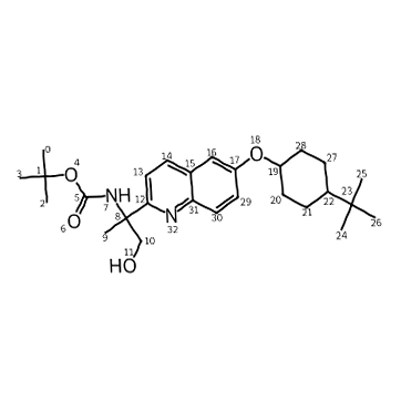 CC(C)(C)OC(=O)NC(C)(CO)c1ccc2cc(OC3CCC(C(C)(C)C)CC3)ccc2n1